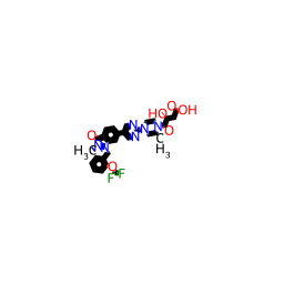 C[C@@H]1CN(c2ncc(-c3ccc4c(=O)n(C)n(Cc5ccccc5OC(F)F)c4c3)cn2)CCN1C(=O)[C@H](O)CC(=O)O